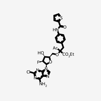 CCOC(=O)C(Cc1ccc(NC(=O)c2cccs2)cc1)(OC[C@H]1O[C@@H](n2cnc3c(N)nc(Cl)nc32)[C@@H](F)[C@@H]1O)C(C)=O